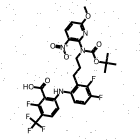 COc1ccc([N+](=O)[O-])c(N(CCCc2c(Nc3ccc(C(F)(F)F)c(F)c3C(=O)O)ccc(F)c2F)C(=O)OC(C)(C)C)n1